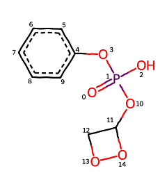 O=P(O)(Oc1ccccc1)OC1COO1